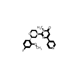 COc1cc(F)ccc1[C@H]1CN(c2nc(-c3ccncc3)cc(=O)n2C)CCO1